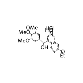 CCOc1ccc2c(C(O)c3cc(OC)c(OC)c(OC)c3)cncc2c1.Cl.Cl